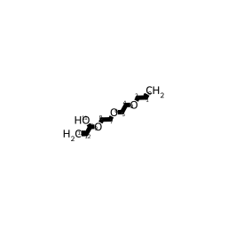 C=CCOCCOCCOC(O)C=C